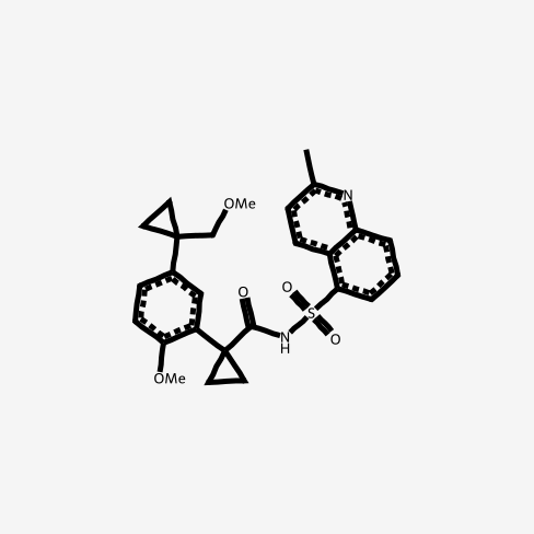 COCC1(c2ccc(OC)c(C3(C(=O)NS(=O)(=O)c4cccc5nc(C)ccc45)CC3)c2)CC1